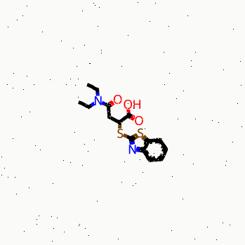 CCN(CC)C(=O)CC(Sc1nc2ccccc2s1)C(=O)O